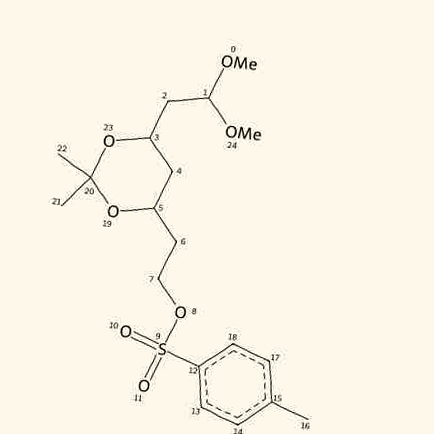 COC(CC1CC(CCOS(=O)(=O)c2ccc(C)cc2)OC(C)(C)O1)OC